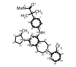 CNC(=O)C(C)(C)c1ccc(Nc2nc(N3CCCC3C)nc3c2CCN(c2ncccc2C(F)(F)F)CC3)cc1